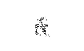 COCCCN1CCOc2ccc(CO[C@H]3CN(S(=O)(=O)c4ccc(C)cc4)C[C@@H](O)[C@@H]3c3ccc(C(COC)OCC4CC4)cc3)cc21